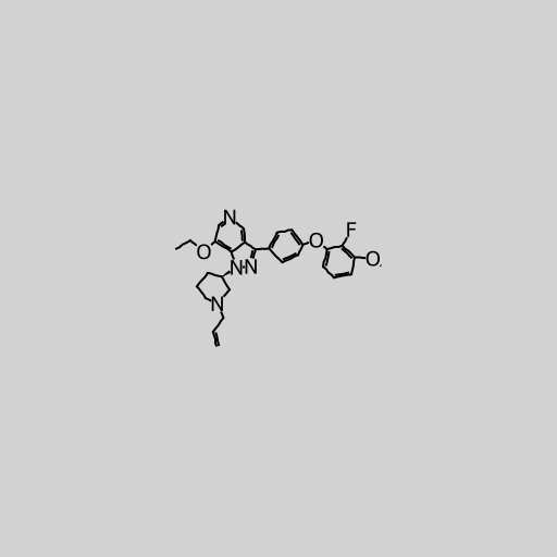 C=CCN1CCC[C@@H](n2nc(-c3ccc(Oc4cccc(OC)c4F)cc3)c3cncc(OCC)c32)C1